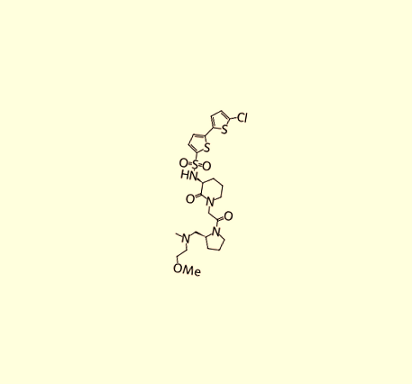 COCCN(C)C[C@@H]1CCCN1C(=O)CN1CCC[C@H](NS(=O)(=O)c2ccc(-c3ccc(Cl)s3)s2)C1=O